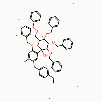 CCc1ccc(Cc2cc([C@]3(O)S[C@@H](COCc4ccccc4)[C@@H](OCc4ccccc4)[C@H](OCc4ccccc4)[C@H]3OCc3ccccc3)c(OCc3ccccc3)cc2C)cc1